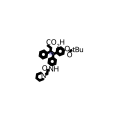 CC(C)(C)C(=O)Oc1ccc(/C(=C(\CCC(=O)O)c2ccccc2)c2ccc(NC(=O)CN3CCCCC3)cc2)cc1